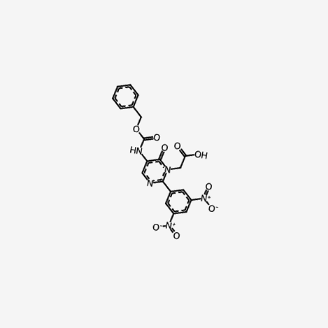 O=C(O)Cn1c(-c2cc([N+](=O)[O-])cc([N+](=O)[O-])c2)ncc(NC(=O)OCc2ccccc2)c1=O